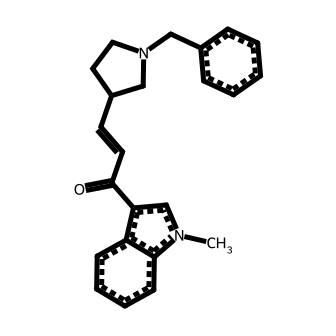 Cn1cc(C(=O)C=CC2CCN(Cc3ccccc3)C2)c2ccccc21